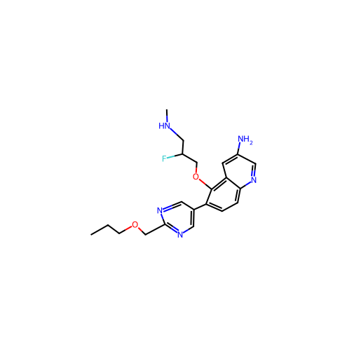 CCCOCc1ncc(-c2ccc3ncc(N)cc3c2OCC(F)CNC)cn1